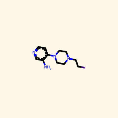 Nc1cnccc1N1CCN(CCI)CC1